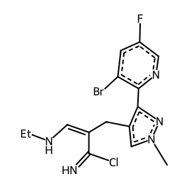 CCN/C=C(/Cc1cn(C)nc1-c1ncc(F)cc1Br)C(=N)Cl